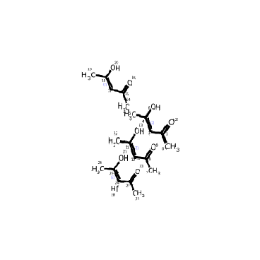 CC(=O)/C=C(/C)O.CC(=O)/C=C(/C)O.CC(=O)/C=C(/C)O.CC(=O)/C=C(/C)O.[Hf]